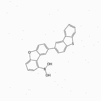 OB(O)c1cccc2oc3ccc(-c4ccc5sc6ccccc6c5c4)cc3c12